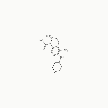 C[C@H]1CCc2c(ccc(NC3CCOCC3)c2N)N1C(=O)O